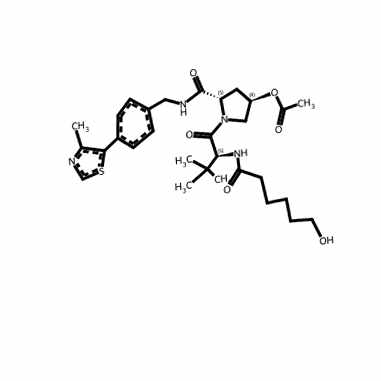 CC(=O)O[C@@H]1C[C@@H](C(=O)NCc2ccc(-c3scnc3C)cc2)N(C(=O)[C@@H](NC(=O)CCCCCO)C(C)(C)C)C1